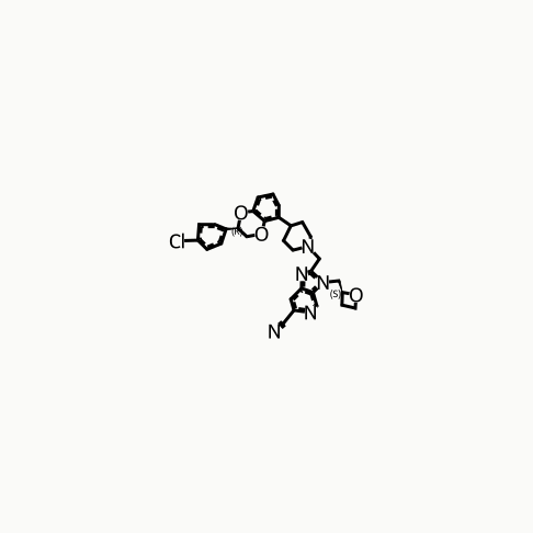 N#Cc1cc2nc(CN3CCC(c4cccc5c4OC[C@@H](c4ccc(Cl)cc4)O5)CC3)n(C[C@@H]3CCO3)c2cn1